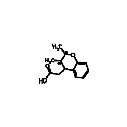 C[C@@H]1C(CC(=O)O)c2ccccc2O[C@@H]1C